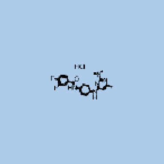 Cc1cc(NC2CCC(NC(=O)c3ccc(F)c(F)c3)CC2)nc(N(C)C)n1.Cl